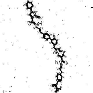 C=C(F)C(=C)c1ccc(CCCNC(=O)c2cnc3cc(Cc4ccc(F)c(-c5ccc(CCCNC(=O)c6cc(-c7ccccc7)nn6C)cc5)c4)nn3c2)cc1